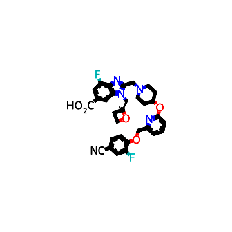 N#Cc1ccc(OCc2cccc(OC3CCN(Cc4nc5c(F)cc(C(=O)O)cc5n4C[C@@H]4CCO4)CC3)n2)c(F)c1